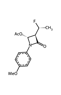 COc1ccc(N2C(=O)[C@H]([C@@H](C)F)[C@H]2OC(C)=O)cc1